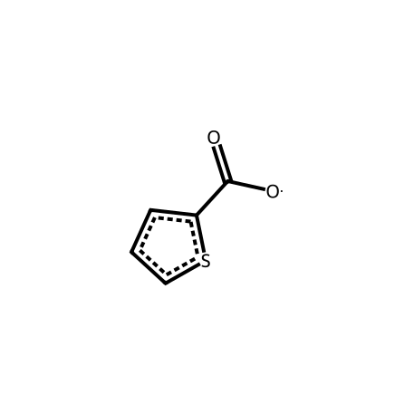 [O]C(=O)c1cccs1